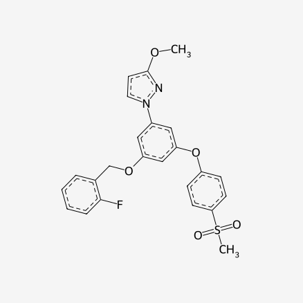 COc1ccn(-c2cc(OCc3ccccc3F)cc(Oc3ccc(S(C)(=O)=O)cc3)c2)n1